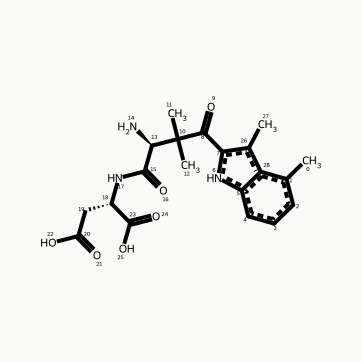 Cc1cccc2[nH]c(C(=O)C(C)(C)[C@H](N)C(=O)N[C@@H](CC(=O)O)C(=O)O)c(C)c12